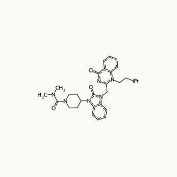 CC(C)CCn1c(Cn2c(=O)n(C3CCN(C(=O)N(C)C)CC3)c3ccccc32)nc(=O)c2ccccc21